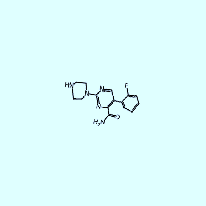 NC(=O)c1nc(N2CCNCC2)ncc1-c1ccccc1F